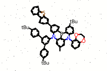 Cc1cc2c3c(c1)N(c1cccc4c1OCCO4)c1ccc(C(C)(C)C)cc1B3c1ccc(-c3ccc4c(c3)sc3ccccc34)cc1N2c1cc(-c2ccc(C(C)(C)C)cc2)cc(-c2ccc(C(C)(C)C)cc2)c1